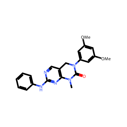 COc1cc(OC)cc(N2Cc3cnc(Nc4ccccc4)nc3N(C)C2=O)c1